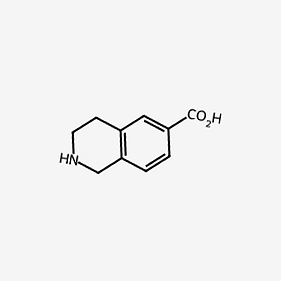 O=C(O)c1ccc2c(c1)CCNC2